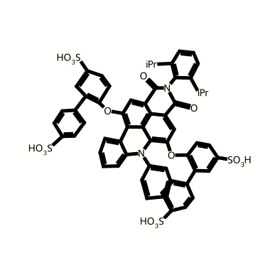 CC(C)c1cccc(C(C)C)c1-n1c(=O)c2cc(Oc3ccc(S(=O)(=O)O)cc3-c3ccc(S(=O)(=O)O)cc3)c3c4ccccc4n(-c4ccccc4)c4c(Oc5ccc(S(=O)(=O)O)cc5-c5ccc(S(=O)(=O)O)cc5)cc(c1=O)c2c34